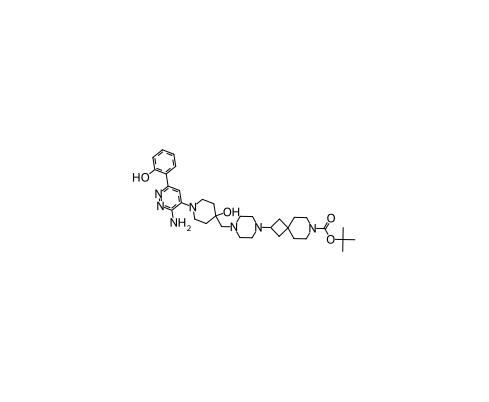 CC(C)(C)OC(=O)N1CCC2(CC1)CC(N1CCN(CC3(O)CCN(c4cc(-c5ccccc5O)nnc4N)CC3)CC1)C2